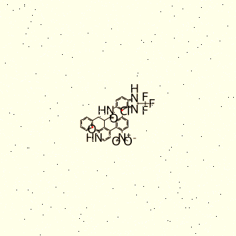 O=C(Nc1ccc2[nH]c(C(F)(F)F)nc2c1)C(Cc1ccccc1)c1c(-c2cc(Cl)ccc2[N+](=O)[O-])cc[nH]c1=O